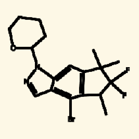 CC1c2c(cc3c(cnn3C3CCCCO3)c2Br)C(C)(C)C1(F)F